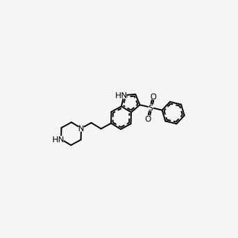 O=S(=O)(c1ccccc1)c1c[nH]c2cc(CCN3CCNCC3)ccc12